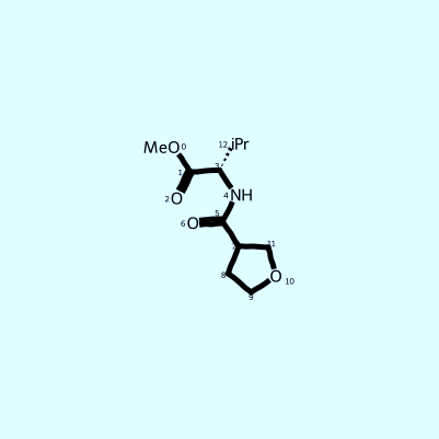 COC(=O)[C@@H](NC(=O)C1CCOC1)C(C)C